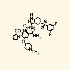 CN1CCC(Oc2cc(C(N)=O)c(C(=O)Nc3n[nH]c4c3CN(S(=O)(=O)c3cc(F)cc(F)c3)CC4)cc2-n2cccc2C(=O)O)CC1